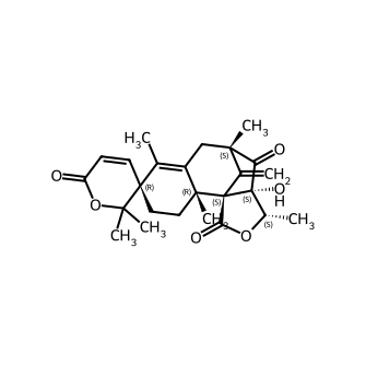 C=C1[C@]2(C)CC3=C(C)[C@]4(C=CC(=O)OC4(C)C)CC[C@@]3(C)[C@]13C(=O)O[C@@H](C)[C@]3(O)C2=O